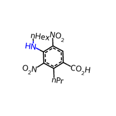 CCCCCCNc1c([N+](=O)[O-])cc(C(=O)O)c(CCC)c1[N+](=O)[O-]